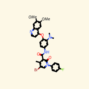 COc1cc2nccc(Oc3ccc(NC(=O)c4c(C)c(Br)cn(-c5ccc(F)cc5)c4=O)cc3N(C)C)c2cc1OC